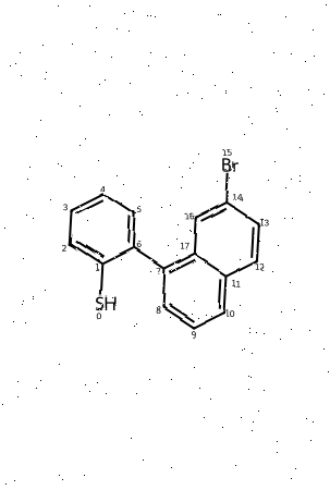 Sc1ccccc1-c1cccc2ccc(Br)cc12